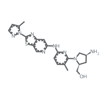 Cc1ccc(Nc2cc3nc(-n4nccc4C)sc3cn2)nc1N1C[C@@H](N)C[C@H]1CO